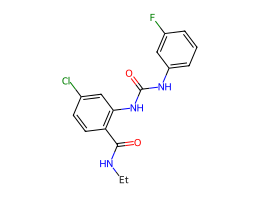 CCNC(=O)c1ccc(Cl)cc1NC(=O)Nc1cccc(F)c1